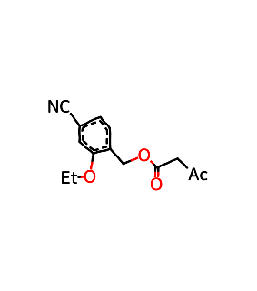 CCOc1cc(C#N)ccc1COC(=O)CC(C)=O